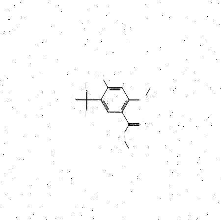 COC(=O)c1cc(C(F)(F)F)c(O)cc1OC